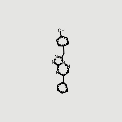 Oc1ccc(Cc2nnc3nc(-c4ccccc4)cnn23)cc1